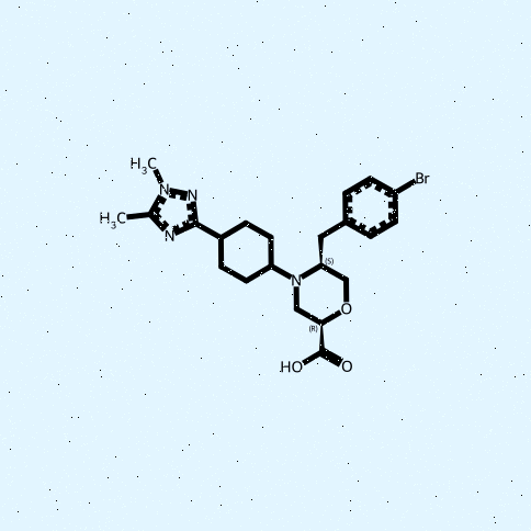 Cc1nc(C2CCC(N3C[C@H](C(=O)O)OC[C@@H]3Cc3ccc(Br)cc3)CC2)nn1C